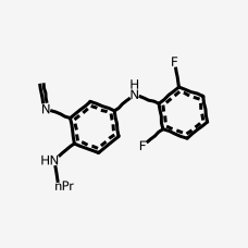 C=Nc1cc(Nc2c(F)cccc2F)ccc1NCCC